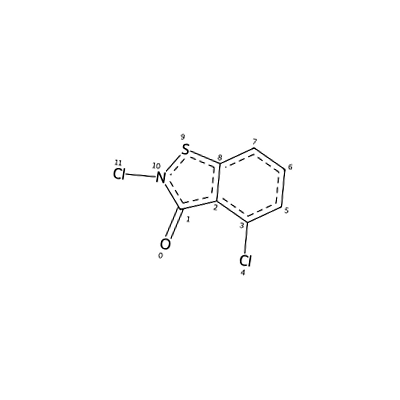 O=c1c2c(Cl)cccc2sn1Cl